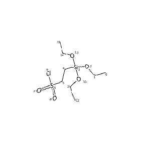 CCO[Si](CCS(=O)(=O)Cl)(OCC)OCC